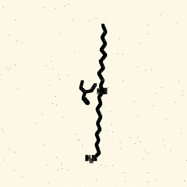 C=CC(CC)CC.CCCCCCCCCCCCCCCCCCCCCCN.Cl